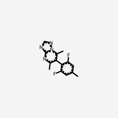 Cc1cc(F)c(-c2c(C)nc3ncnn3c2C)c(F)c1